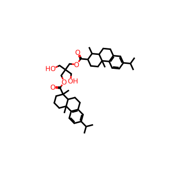 CC(C)c1ccc2c(c1)CCC1C(C)C(C(=O)OCC(CO)(CO)COC(=O)C3(C)CCCC4(C)c5ccc(C(C)C)cc5CCC34)CCC21C